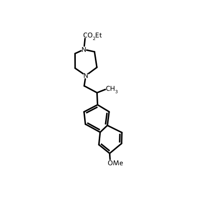 CCOC(=O)N1CCN(CC(C)c2ccc3cc(OC)ccc3c2)CC1